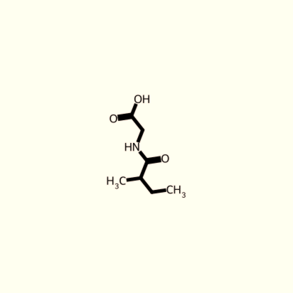 CCC(C)C(=O)NCC(=O)O